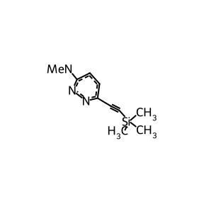 CNc1ccc(C#C[Si](C)(C)C)nn1